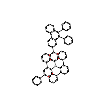 c1ccc(-c2ccc(N(c3ccc(-c4ccc5c(c4)c(-c4ccccc4)c(-c4ccccc4)c4ccccc45)cc3)c3c(-c4ccccc4)cccc3-c3ccccc3)c(-c3ccccc3)c2)cc1